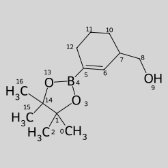 CC1(C)OB(C2=CC(CO)CCC2)OC1(C)C